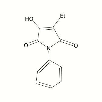 CCC1=C(O)C(=O)N(c2ccccc2)C1=O